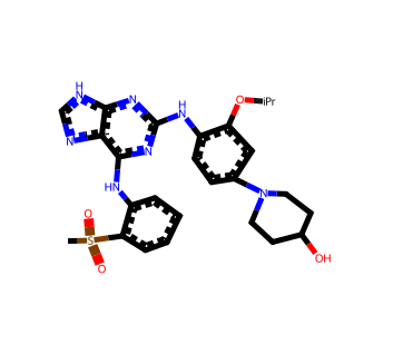 CC(C)Oc1cc(N2CCC(O)CC2)ccc1Nc1nc(Nc2ccccc2S(C)(=O)=O)c2nc[nH]c2n1